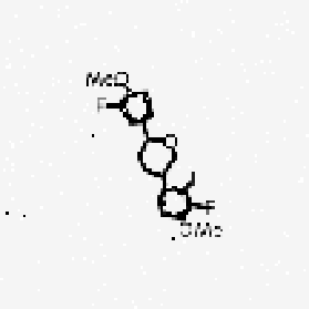 COc1ccc(C2CCC(c3ccc(OC)c(F)c3F)CO2)cc1F